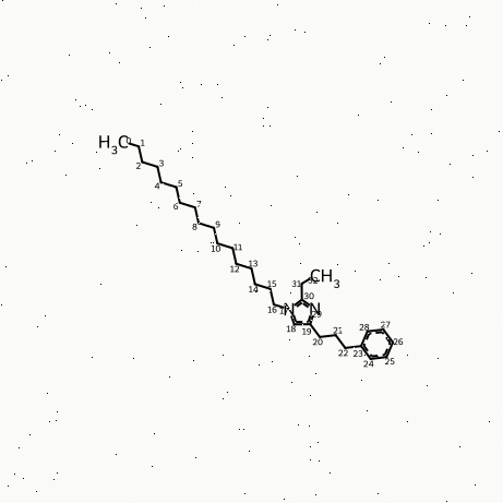 CCCCCCCCCCCCCCCCCn1cc(CCCc2ccccc2)nc1CC